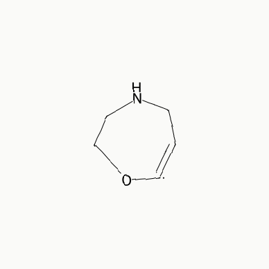 [C]1=CCNCCO1